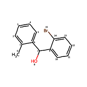 Cc1ccccc1C(O)c1ccccc1Br